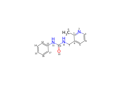 Cc1ncccc1CNC(=O)Nc1ccccc1